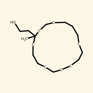 CC1(CCO)CCCCCCCCCCCCCCCC1